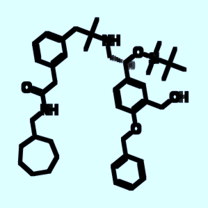 CC(C)(Cc1cccc(CC(=O)NCC2CCCCCC2)c1)NC[C@H](O[Si](C)(C)C(C)(C)C)c1ccc(OCc2ccccc2)c(CO)c1